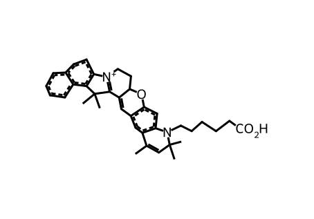 CC1=CC(C)(C)N(CCCCCC(=O)O)c2cc3c(cc21)C=C1C2=[N+](CCC1O3)c1ccc3ccccc3c1C2(C)C